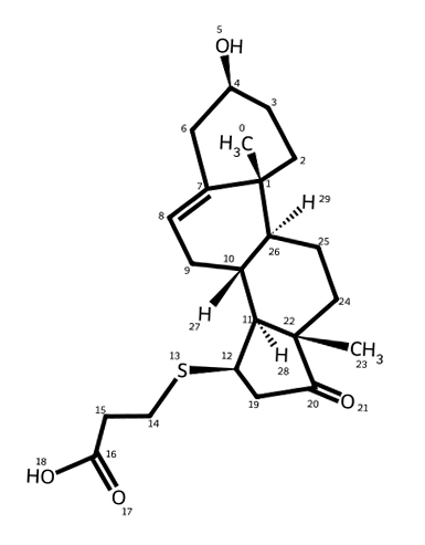 C[C@]12CC[C@H](O)CC1=CC[C@H]1[C@@H]3[C@H](SCCC(=O)O)CC(=O)[C@@]3(C)CC[C@@H]12